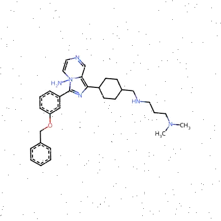 CN(C)CCCNCC1CCC(C2=C3C=NC=C[N+]3(N)C(c3cccc(OCc4ccccc4)c3)=N2)CC1